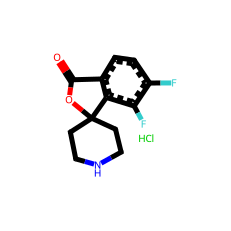 Cl.O=C1OC2(CCNCC2)c2c1ccc(F)c2F